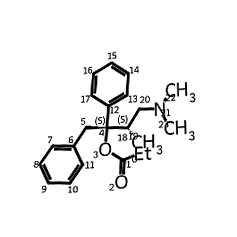 CCC(=O)O[C@](Cc1ccccc1)(c1ccccc1)[C@@H](C)CN(C)C